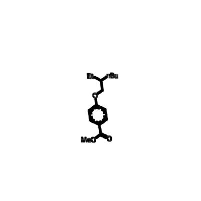 CCCCC(CC)COc1ccc(C(=O)OC)cc1